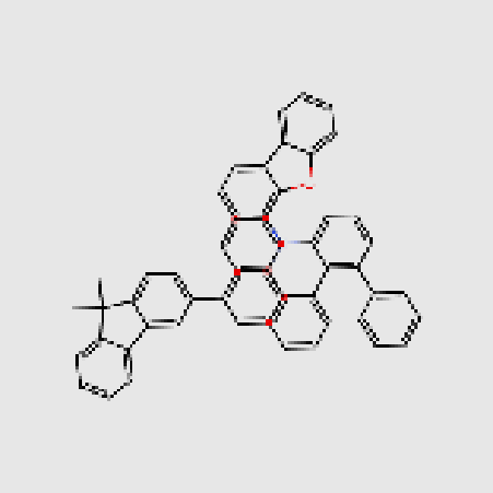 CC1(C)c2ccccc2-c2cc(-c3cccc(N(c4cccc(-c5ccccc5)c4-c4ccccc4-c4ccccc4)c4cccc5c4oc4ccccc45)c3)ccc21